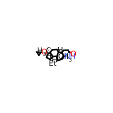 CCC1C[C@H](OC2CC2)[C@@]2(C)CC[C@H]3[C@@H](CC=C4NC(=O)CC[C@@]43C)[C@H]12